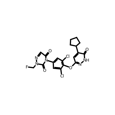 O=c1[nH]nc(Oc2c(Cl)cc(-n3c(=O)cnn(CF)c3=O)cc2Cl)cc1C1CCCC1